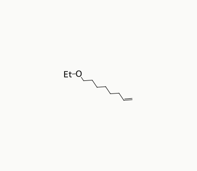 [CH2]COCCCCCCC=C